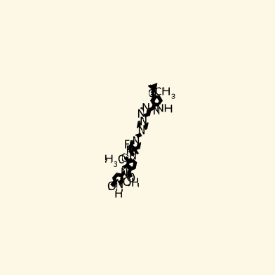 COc1c(N2CC3(CCN(CCN4CCN(c5cc(-c6n[nH]c7ccc(OC8(C)CC8)cc67)ncn5)CC4)CC3(F)F)C2)ccc2c1CN(C1CCC(=O)NC1O)C2=O